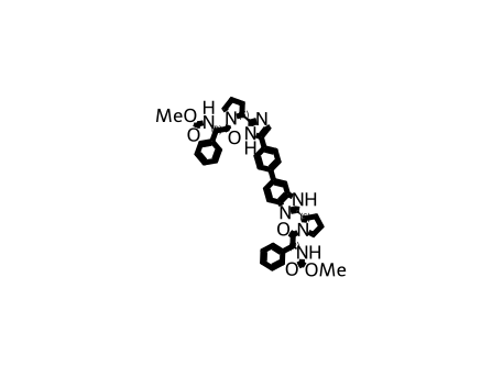 COC(=O)N[C@@H](C(=O)N1CCC[C@H]1c1ncc(-c2ccc(-c3ccc4nc([C@@H]5CCCN5C(=O)[C@H](NC(=O)OC)c5ccccc5)[nH]c4c3)cc2)[nH]1)c1ccccc1